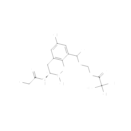 CCC(=O)N[C@H]1Cc2cc(O)cc(C(O)OCOC(=O)C(C)(C)C)c2OB1O